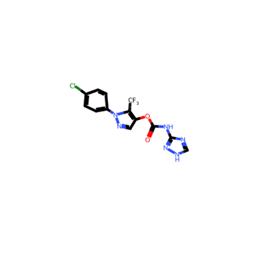 O=C(Nc1nc[nH]n1)Oc1cnn(-c2ccc(Cl)cc2)c1C(F)(F)F